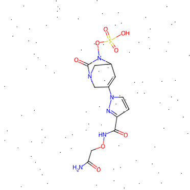 NC(=O)CONC(=O)c1ccn(C2=CC3CN(C2)C(=O)N3OS(=O)(=O)O)n1